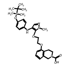 Cn1ncc(Nc2ccc(O[Si](C)(C)C(C)(C)C)cc2)c1OCCOc1cccc2c1CCN(C(=O)O)C2